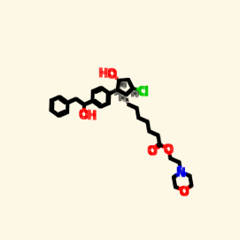 O=C(CCCCCC[C@@H]1[C@@H](c2ccc(C(O)Cc3ccccc3)cc2)[C@H](O)C[C@H]1Cl)OCCN1CCOCC1